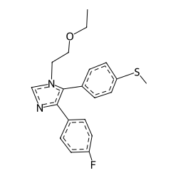 CCOCCn1cnc(-c2ccc(F)cc2)c1-c1ccc(SC)cc1